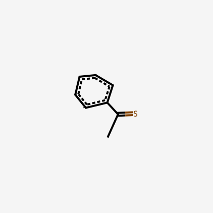 CC(=S)c1[c]cccc1